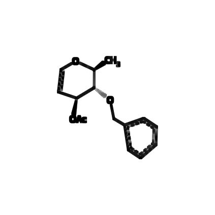 CC(=O)O[C@H]1C=CO[C@@H](C)[C@@H]1OCc1ccccc1